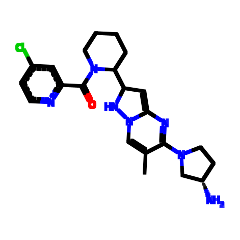 CC1=CN2NC(C3CCCCN3C(=O)c3cc(Cl)ccn3)C=C2N=C1N1CC[C@H](N)C1